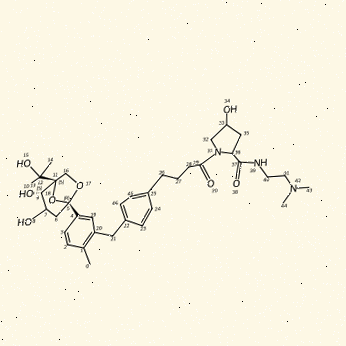 Cc1ccc([C@]23CC(O)[C@H](O)[C@](C(C)(C)O)(CO2)O3)cc1Cc1ccc(CCCC(=O)N2CC(O)CC2C(=O)NCCN(C)C)cc1